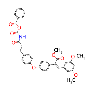 COC(=O)C(=Cc1cc(OC)cc(OC)c1)c1ccc(Oc2ccc(CCC(=O)NC(=O)OC(=O)c3ccccc3)cc2)cc1